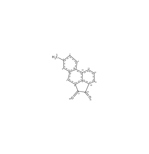 Cc1ccc2c(c1)cc1c3c(cccc32)C(=O)C1=O